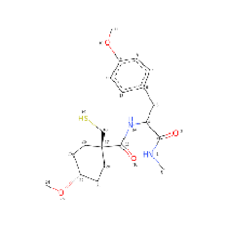 CNC(=O)C(Cc1ccc(OC)cc1)NC(=O)[C@]1(CS)CC[C@H](OC)CC1